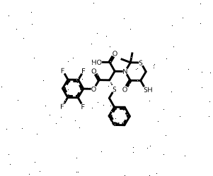 CC1(C)SCC(S)C(=O)N1C(C(=O)O)[C@H](SCc1ccccc1)C(=O)Oc1c(F)c(F)cc(F)c1F